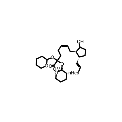 CCCCCC/C=C/[C@H]1CCC(O)[C@@H]1C/C=C\CCC(OC1CCCCO1)(OC1CCCCO1)C(=O)OC